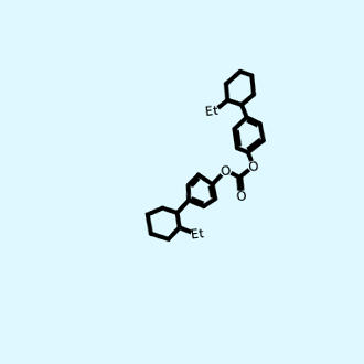 CCC1CCCCC1c1ccc(OC(=O)Oc2ccc(C3CCCCC3CC)cc2)cc1